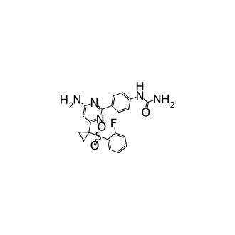 NC(=O)Nc1ccc(-c2nc(N)cc(C3(S(=O)(=O)c4ccccc4F)CC3)n2)cc1